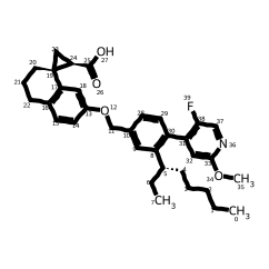 CCCCC[C@H](CC)c1cc(COc2ccc3c(c2)[C@]2(CCC3)C[C@H]2C(=O)O)ccc1-c1cc(OC)ncc1F